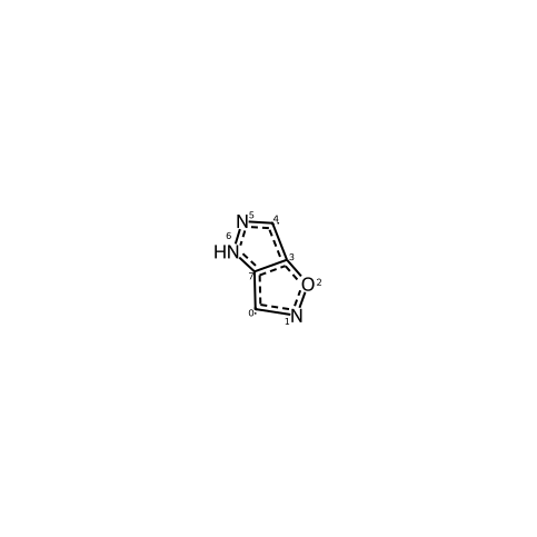 [c]1noc2[c]n[nH]c12